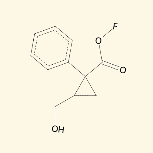 O=C(OF)C1(c2ccccc2)CC1CO